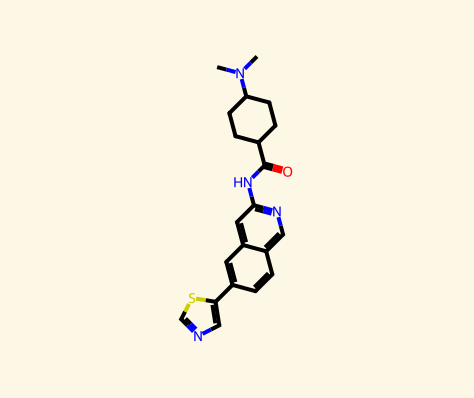 CN(C)C1CCC(C(=O)Nc2cc3cc(-c4cncs4)ccc3cn2)CC1